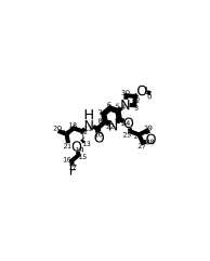 COC1CN(c2ccc(C(=O)N[C@H](COCCF)CC(C)C)nc2OCC2COC2)C1